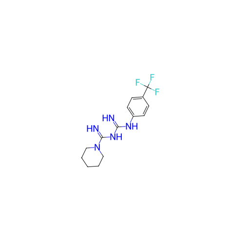 N=C(NC(=N)N1CCCCC1)Nc1ccc(C(F)(F)F)cc1